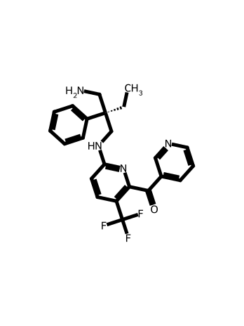 CC[C@](CN)(CNc1ccc(C(F)(F)F)c(C(=O)c2cccnc2)n1)c1ccccc1